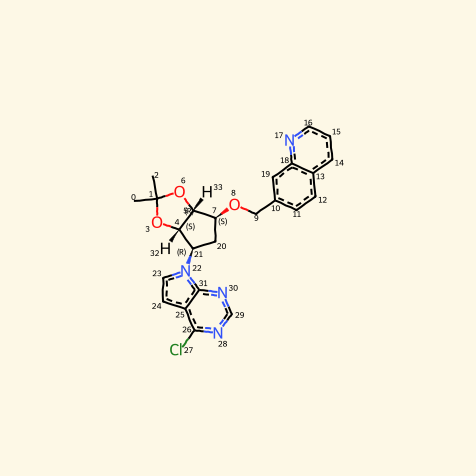 CC1(C)O[C@@H]2[C@H](O1)[C@@H](OCc1ccc3cccnc3c1)C[C@H]2n1ccc2c(Cl)ncnc21